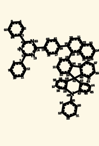 c1ccc(-c2nc(-c3ccccc3)nc(-c3ccc(-c4ccc5ccccc5c4-c4cccc5c4-c4ccccc4C54c5ccccc5N(c5ccccc5)c5ccccc54)cc3)n2)cc1